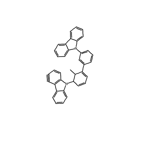 CC1C(c2cccc(-n3c4ccccc4c4ccccc43)c2)=CC=CC1n1c2ccc#cc2c2ccccc21